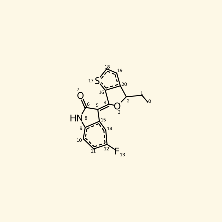 CCC1OC(=C2C(=O)Nc3ccc(F)cc32)c2sccc21